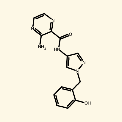 Nc1nccnc1C(=O)Nc1cnn(Cc2ccccc2O)c1